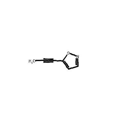 CC#Cc1ccno1